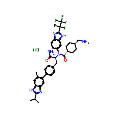 Cc1cc2[nH]c(C(C)C)nc2cc1-c1ccc(C[C@@H](C(N)=O)N(c2ccc3nc(C(F)(F)C(F)(F)F)[nH]c3c2)C(=O)[C@H]2CC[C@H](CN)CC2)cc1.Cl